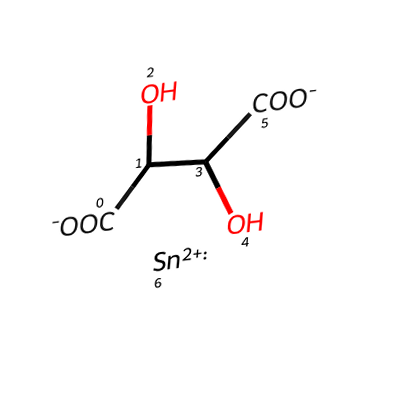 O=C([O-])C(O)C(O)C(=O)[O-].[Sn+2]